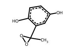 CC1(c2cc(O)ccc2O)OO1